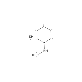 O=S(=O)(O)NC1CCCCC1.[KH]